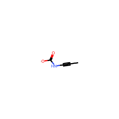 CC#CNC([O])=O